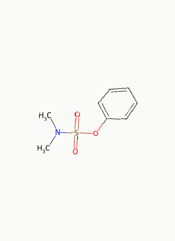 CN(C)S(=O)(=O)Oc1ccccc1